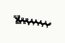 [CH2]CCCCCCCCCCCCCC(C)(C)C